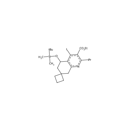 CCOC(=O)c1c(C(C)C)nc2c(c1I)C(O[Si](C)(C)C(C)(C)C)CC1(CCC1)C2